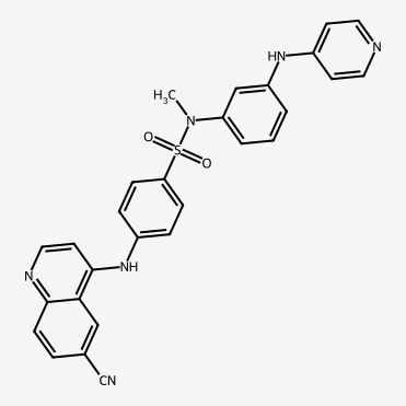 CN(c1cccc(Nc2ccncc2)c1)S(=O)(=O)c1ccc(Nc2ccnc3ccc(C#N)cc23)cc1